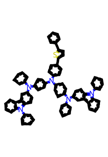 c1ccc(-c2ccc(-c3ccc(N(c4ccc(N(c5ccccc5)c5ccc6c(c5)c5ccccc5n6-c5ccccc5)cc4)c4ccc(N(c5ccccc5)c5ccc6c(c5)c5ccccc5n6-c5ccccc5)cc4)cc3)s2)cc1